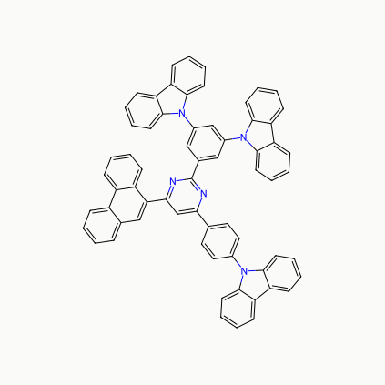 c1ccc2c(c1)cc(-c1cc(-c3ccc(-n4c5ccccc5c5ccccc54)cc3)nc(-c3cc(-n4c5ccccc5c5ccccc54)cc(-n4c5ccccc5c5ccccc54)c3)n1)c1ccccc12